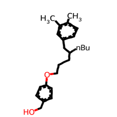 CCCCC(CCCOc1ccc(CO)cc1)Cc1ccc(C)c(C)c1